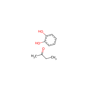 CCC(C)=O.Oc1ccccc1O